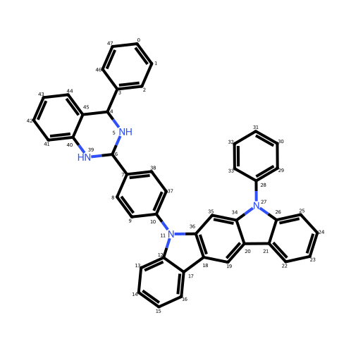 c1ccc(C2NC(c3ccc(-n4c5ccccc5c5cc6c7ccccc7n(-c7ccccc7)c6cc54)cc3)Nc3ccccc32)cc1